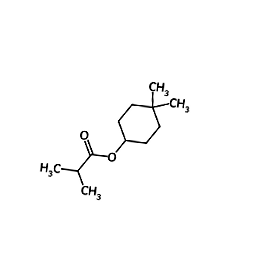 CC(C)C(=O)OC1CCC(C)(C)CC1